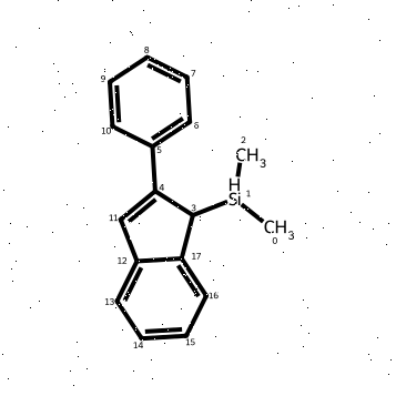 C[SiH](C)C1C(c2ccccc2)=Cc2ccccc21